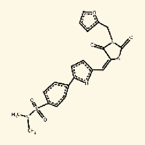 CN(C)S(=O)(=O)c1ccc(-c2ccc(/C=C3/SC(=O)N(Cc4ccco4)C3=O)o2)cc1